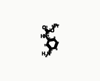 CC(C)OC(=O)Nc1cccc(N)c1